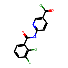 O=C(Cl)c1ccc(NC(=O)c2cccc(Cl)c2Cl)nc1